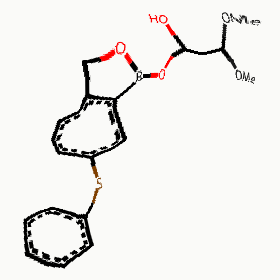 COC(OC)C(O)OB1OCc2ccc(Sc3ccccc3)cc21